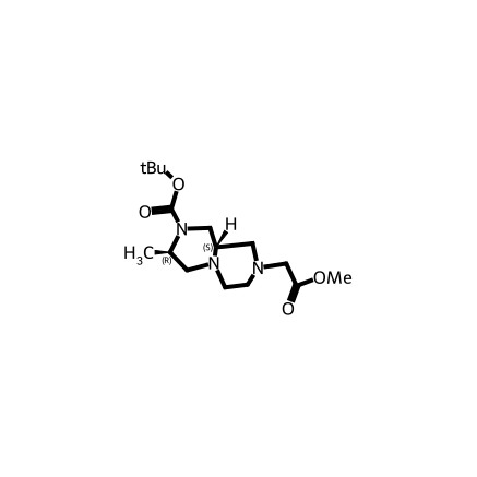 COC(=O)CN1CCN2C[C@@H](C)N(C(=O)OC(C)(C)C)C[C@@H]2C1